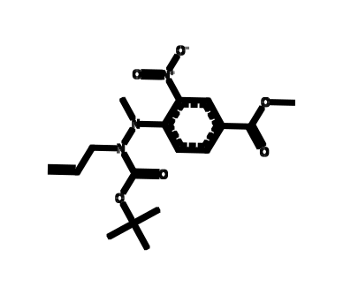 C=CCN(C(=O)OC(C)(C)C)N(C)c1ccc(C(=O)OC)cc1[N+](=O)[O-]